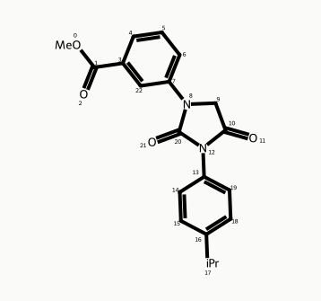 COC(=O)c1cccc(N2CC(=O)N(c3ccc(C(C)C)cc3)C2=O)c1